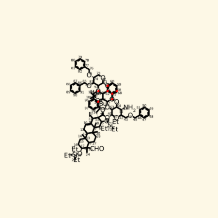 CC[Si](CC)(CC)OC1CC2(C)C(=CCC3C4(C)CC[C@H](O[Si](CC)(CC)CC)C(C)(C=O)C4CCC32C)C(I)[C@@]1(CCC(C)(C)C)C(=O)O[C@@H]1OC(COCc2ccccc2)[C@H](N)C(OCc2ccccc2)C1O[C@@H]1OC(C)[C@H](O[C@@H]2OC[C@@H](OCc3ccccc3)C(OCc3ccccc3)C2OCc2ccccc2)C2OC(C)(C)OC21